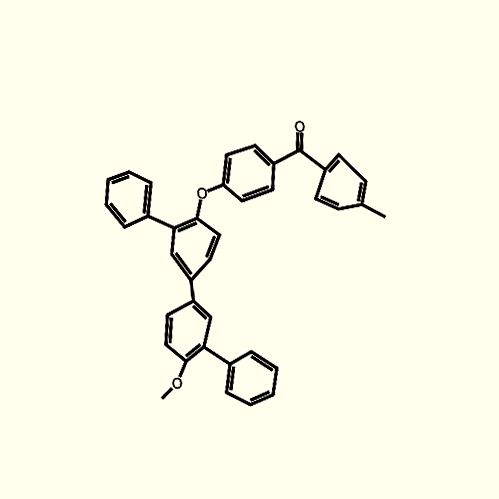 COc1ccc(-c2ccc(Oc3ccc(C(=O)c4ccc(C)cc4)cc3)c(-c3ccccc3)c2)cc1-c1ccccc1